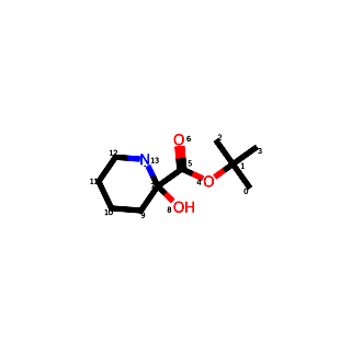 CC(C)(C)OC(=O)C1(O)CCCC[N]1